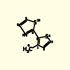 Cc1ccsc1-c1n[c]cs1